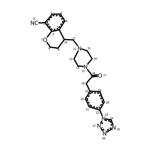 N#Cc1cccc2c1OCCC2CN1CCN(C(=O)Cc2ccc(-n3cnnn3)cc2)CC1